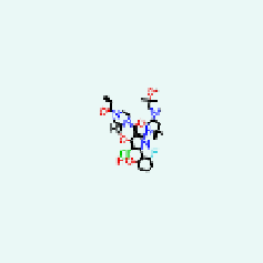 C=CC(=O)N1CCN2C(=O)c3c(N4CC(N(C)CC(C)(C)OC)CC4(C)C)nc(-c4c(O)cccc4F)c(Cl)c3OC[C@H]2C1